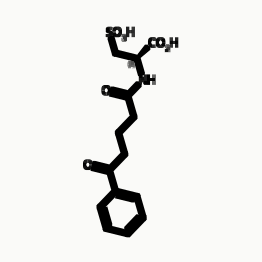 O=C(CCCC(=O)c1ccccc1)N[C@@H](CS(=O)(=O)O)C(=O)O